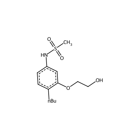 CCCCc1ccc(NS(C)(=O)=O)cc1OCCO